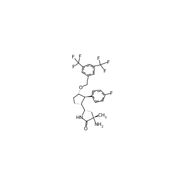 C[C@]1(N)C[C@@H]([C@@H]2CC[C@H](OCc3cc(C(F)(F)F)cc(C(F)(F)F)c3)[C@H]2c2ccc(F)cc2)NC1=O